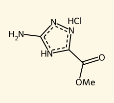 COC(=O)c1nnc(N)[nH]1.Cl